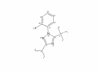 CC(C)c1nc(C(C)(C)C)n(-c2ccccc2F)n1